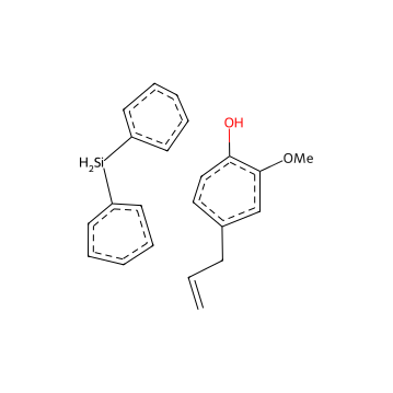 C=CCc1ccc(O)c(OC)c1.c1ccc([SiH2]c2ccccc2)cc1